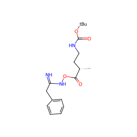 C[C@@H](CCNC(=O)OC(C)(C)C)C(=O)ONC(=N)Cc1ccccc1